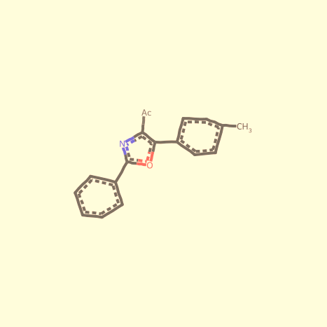 CC(=O)c1nc(-c2ccccc2)oc1-c1ccc(C)cc1